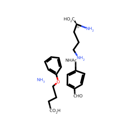 CC(=O)Nc1ccc(C=O)cc1.N.NCCC[C@H](N)C(=O)O.O=C(O)CCCOc1ccccc1